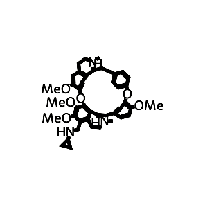 COc1ccc2cc1Oc1ccc(cc1)C[C@H]1c3cc(c(OC)cc3CCN1C)Oc1c(OC)c(OC)c(CNC3CC3)c3c1[C@H](C2)N(C)CC3